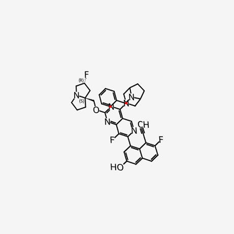 C#Cc1c(F)ccc2cc(O)cc(-c3ncc4c(N5CC6CCC(C5)N6Cc5ccccc5)nc(OC[C@@]56CCCN5C[C@H](F)C6)nc4c3F)c12